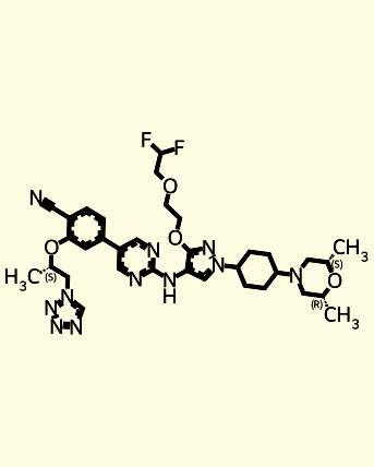 C[C@@H]1CN(C2CCC(n3cc(Nc4ncc(-c5ccc(C#N)c(O[C@@H](C)Cn6cnnn6)c5)cn4)c(OCCOCC(F)F)n3)CC2)C[C@H](C)O1